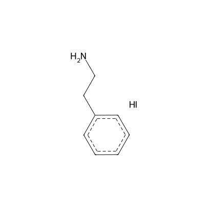 I.NCCc1ccccc1